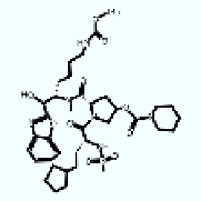 CC(C)(C)OC(=O)NCCCC[C@H](NC(=O)[C@@H]1C[C@@H](OC(=O)N2CCCCC2)CN1C(=O)[C@@H](CCC1CCCC1)NS(C)(=O)=O)C(O)c1nc2ccccc2o1